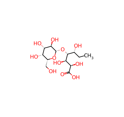 CC[C@@H](O)[C@@H](O[C@@H]1O[C@H](CO)[C@H](O)[C@H](O)[C@H]1O)[C@H](O)[C@@H](O)C(=O)O